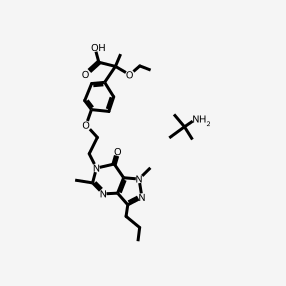 CC(C)(C)N.CCCc1nn(C)c2c(=O)n(CCOc3ccc(C(C)(OCC)C(=O)O)cc3)c(C)nc12